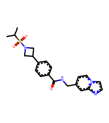 CC(C)S(=O)(=O)N1CC(c2ccc(C(=O)NCc3ccn4ccnc4c3)cc2)C1